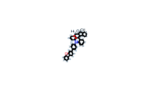 CC1(C)c2ccccc2-c2c(-c3ccccc3N(c3ccccc3)c3ccc(-c4ccc5c(c4)oc4ccccc45)cc3)cccc21